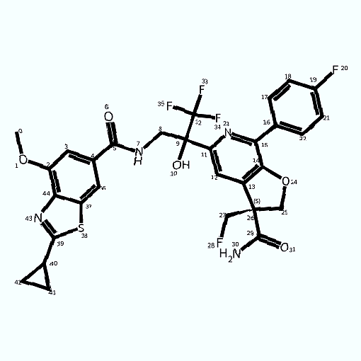 COc1cc(C(=O)NCC(O)(c2cc3c(c(-c4ccc(F)cc4)n2)OC[C@]3(CF)C(N)=O)C(F)(F)F)cc2sc(C3CC3)nc12